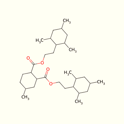 CC1CC(C)C(CCOC(=O)C2CCC(C)CC2C(=O)OCCC2C(C)CC(C)CC2C)C(C)C1